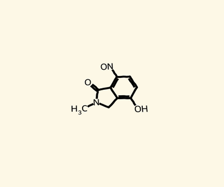 CN1Cc2c(O)ccc(N=O)c2C1=O